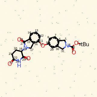 CC(C)(C)OC(=O)N1Cc2ccc(Oc3cccc4c3CN(C3CCC(=O)NC3=O)C4=O)cc2C1